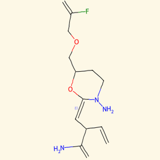 C=CC(/C=C1/OC(COCC(=C)F)CCN1N)C(=C)N